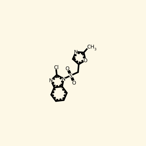 Cc1ncc(CS(=O)(=O)n2c(Cl)nc3ccccc32)o1